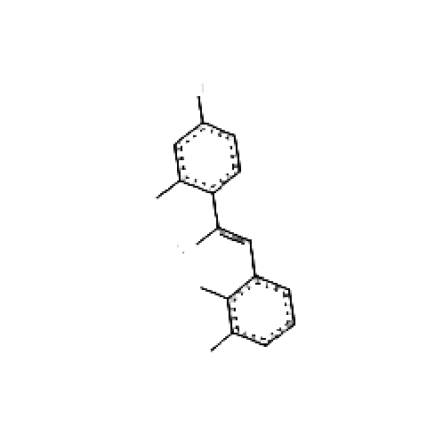 N#CC(=Cc1cccc(F)c1F)c1ccc(Cl)cc1F